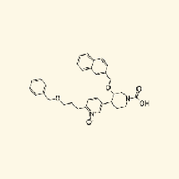 O=C(O)N1CCC(c2ccc(CCCOCc3ccccc3)[n+]([O-])c2)C(OCc2ccc3ccccc3c2)C1